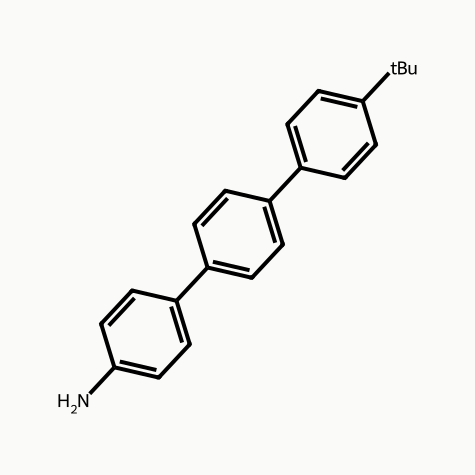 CC(C)(C)c1ccc(-c2ccc(-c3ccc(N)cc3)cc2)cc1